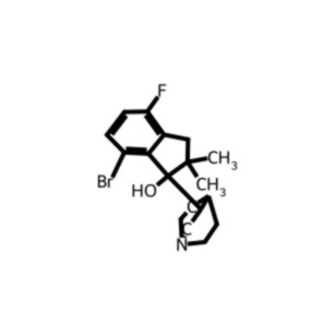 CC1(C)Cc2c(F)ccc(Br)c2C1(O)C1CN2CCC1CC2